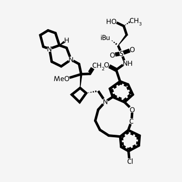 C=CC(CN1CCN2CCCC[C@@H]2C1)(OC)[C@@H]1CC[C@H]1CN1CCCCc2cc(Cl)ccc2COc2ccc(C(=O)NS(=O)(=O)[C@H](C[C@@H](C)O)[C@@H](C)CC)cc21